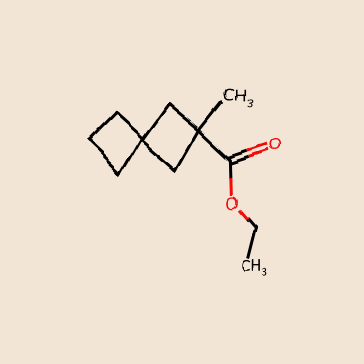 CCOC(=O)C1(C)CC2(CCC2)C1